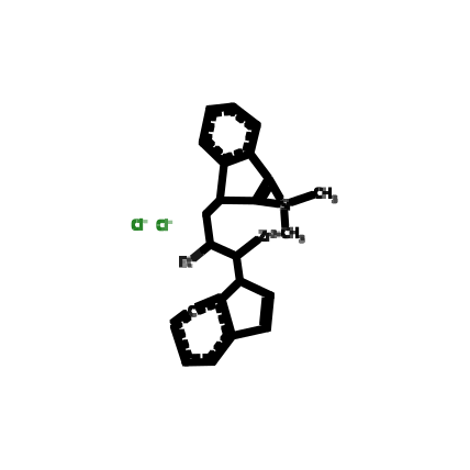 CCC(CC1C2=C(c3ccccc31)[Si]2(C)C)[CH]([Zr+2])C1C=Cc2ccccc21.[Cl-].[Cl-]